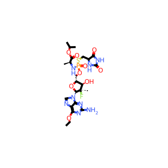 CCOc1nc(N)nc2c1ncn2[C@@H]1O[C@H](CO[P@](=O)(N[C@@H](C)C(=O)OC(C)C)SCC2NC(=O)NC2=O)[C@@H](O)[C@@]1(C)F